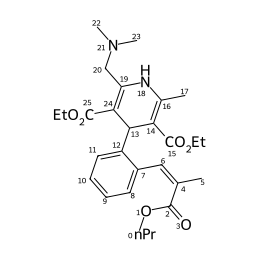 CCCOC(=O)C(C)=Cc1ccccc1C1C(C(=O)OCC)=C(C)NC(CN(C)C)=C1C(=O)OCC